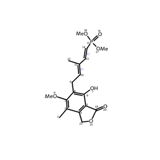 COc1c(C)c2c(c(O)c1C/C=C(C)/C=C/P(=O)(OC)OC)C(=O)OC2